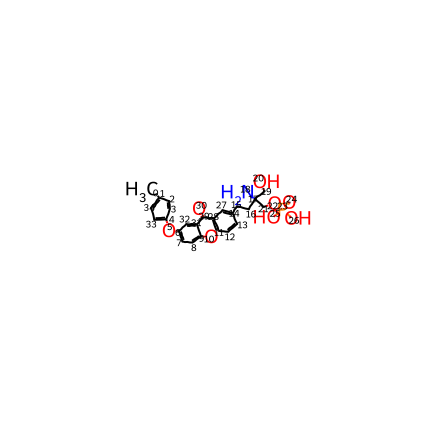 Cc1ccc(Oc2ccc3oc4ccc(CCC(N)(CO)COP(=O)(O)O)cc4c(=O)c3c2)cc1